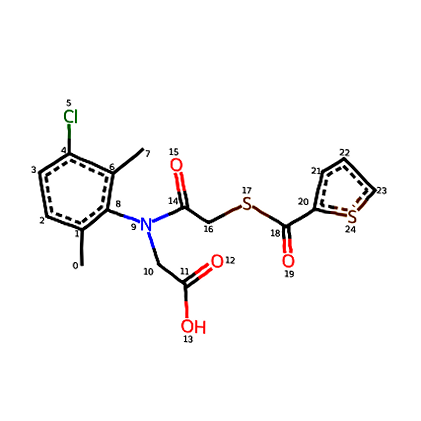 Cc1ccc(Cl)c(C)c1N(CC(=O)O)C(=O)CSC(=O)c1cccs1